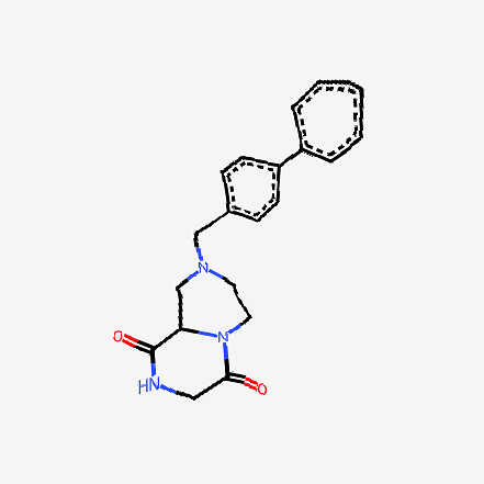 O=C1NCC(=O)N2CCN(Cc3ccc(-c4ccccc4)cc3)CC12